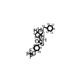 O=S(=O)(N[C@H]1CC[C@@H]2CN(Cc3ccccc3)C[C@H]21)c1ccc(OC(F)(F)F)cc1